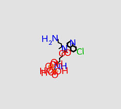 CC(CCCN)N(C(=O)OCCCC(=O)NC(P(=O)(O)O)P(=O)(O)O)c1ccnc2cc(Cl)ccc12